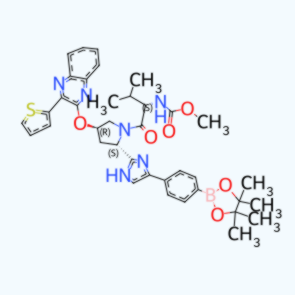 COC(=O)N[C@H](C(=O)N1C[C@H](Oc2nc3ccccc3nc2-c2cccs2)C[C@H]1c1nc(-c2ccc(B3OC(C)(C)C(C)(C)O3)cc2)c[nH]1)C(C)C